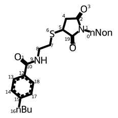 CCCCCCCCCN1C(=O)CC(SCCNC(=O)c2ccc(CCCC)cc2)C1=O